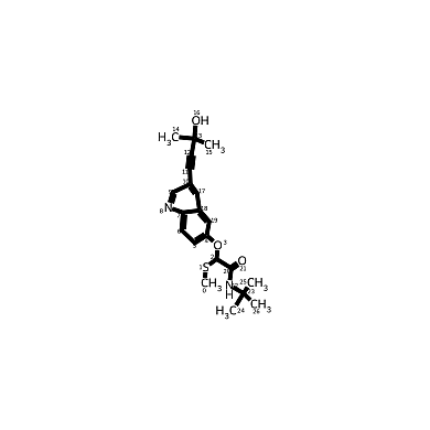 CSC(Oc1ccc2ncc(C#CC(C)(C)O)cc2c1)C(=O)NC(C)(C)C